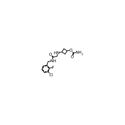 NC(=O)OC1CC(NCC(=O)NCc2cccc(Cl)c2F)C1